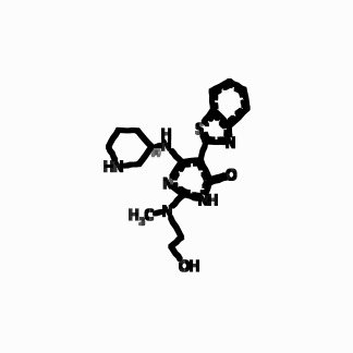 CN(CCO)c1nc(N[C@@H]2CCCNC2)c(-c2nc3ccccc3s2)c(=O)[nH]1